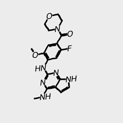 CNc1nc(Nc2cc(F)c(C(=O)N3CCOCC3)cc2OC)nc2[nH]ccc12